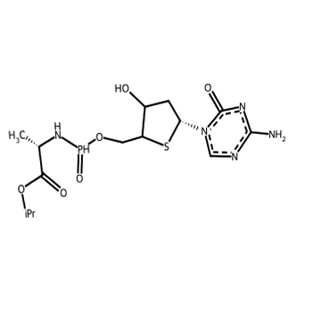 CC(C)OC(=O)[C@H](C)N[PH](=O)OCC1S[C@@H](n2cnc(N)nc2=O)CC1O